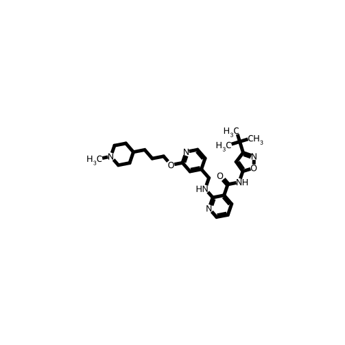 CN1CCC(CCCOc2cc(CNc3ncccc3C(=O)Nc3cc(C(C)(C)C)no3)ccn2)CC1